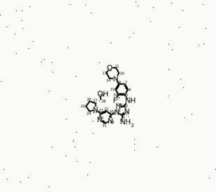 Nc1nc(Nc2ccc(N3CCOCC3)cc2F)nn1-c1cc(N2CCC[C@@H]2CO)ncn1